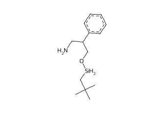 CC(C)(C)C[SiH2]OCC(CN)c1ccccc1